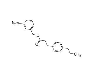 CCCc1ccc(CCC(=O)OCc2cccc(C#N)c2)cc1